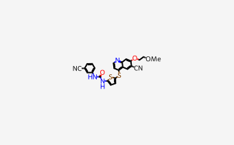 COCCOc1cc2nccc(Sc3ccc(NC(=O)Nc4cccc(C#N)c4)s3)c2cc1C#N